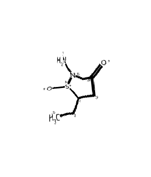 CCC1CC(=O)N(N)[S+]1[O-]